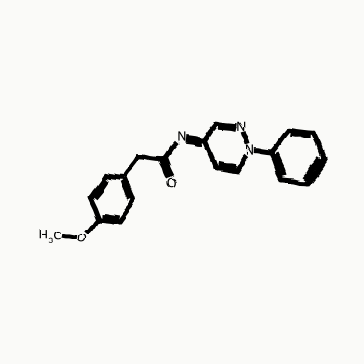 COc1ccc(CC(=O)N=c2ccn(-c3ccccc3)nc2)cc1